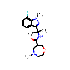 CN1CCOCC(C(=O)NC(C)(C)c2nn(C)c3c(F)cccc23)C1